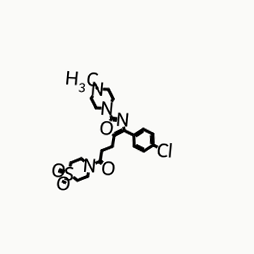 CN1CCN(c2nc(-c3ccc(Cl)cc3)c(CCC(=O)N3CCS(=O)(=O)CC3)o2)CC1